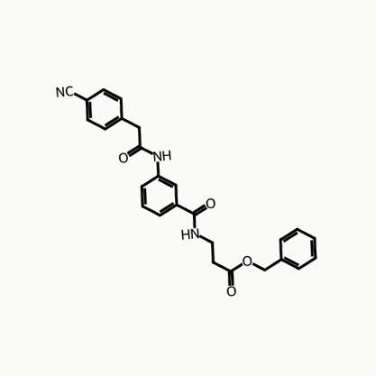 N#Cc1ccc(CC(=O)Nc2cccc(C(=O)NCCC(=O)OCc3ccccc3)c2)cc1